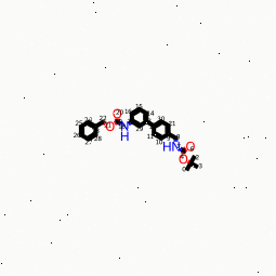 CC(C)(C)OC(=O)NCc1ccc(-c2cccc(NC(=O)OCc3ccccc3)c2)cc1